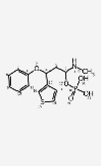 CNC(CC(Oc1ccccc1)c1ccsc1)OP(=O)(O)O